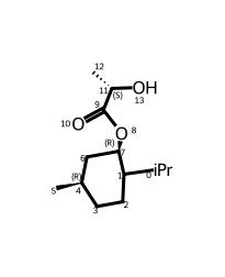 CC(C)C1CC[C@@H](C)C[C@H]1OC(=O)[C@H](C)O